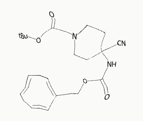 CC(C)(C)OC(=O)N1CCC(C#N)(NC(=O)OCc2ccccc2)CC1